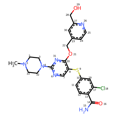 CN1CCN(c2ncc(Sc3ccc(C(N)=O)c(Cl)c3)c(OCc3ccnc(CO)c3)n2)CC1